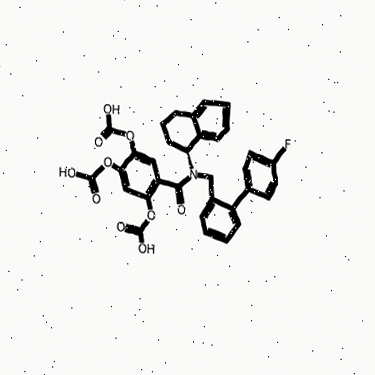 O=C(O)Oc1cc(OC(=O)O)c(C(=O)N(Cc2ccccc2-c2ccc(F)cc2)[C@H]2CCCc3ccccc32)cc1OC(=O)O